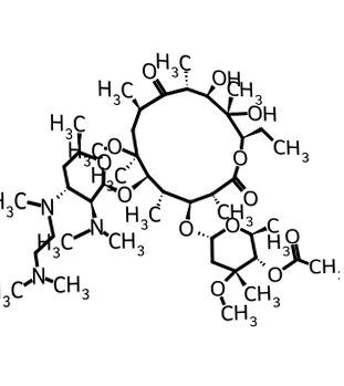 CC[C@H]1OC(=O)[C@H](C)[C@@H](O[C@H]2C[C@@](C)(OC)[C@@H](OC(C)=O)[C@H](C)O2)[C@H](C)[C@@H](O[C@@H]2O[C@H](C)C[C@@H](N(C)CCN(C)C)[C@@H]2N(C)C)[C@@](C)(OC)C[C@@H](C)C(=O)[C@H](C)[C@@H](O)[C@]1(C)O